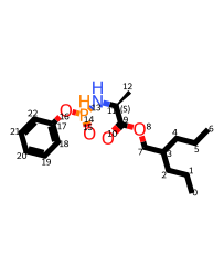 CCCC(CCC)COC(=O)[C@H](C)N[PH](=O)Oc1ccccc1